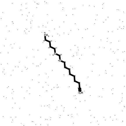 C#CCCCCCCCOCOCCCCC